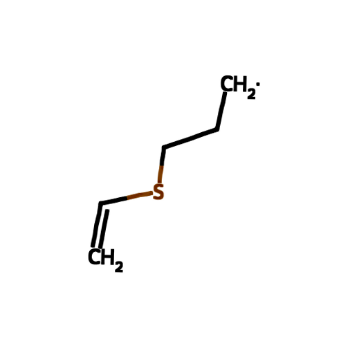 [CH2]CCSC=C